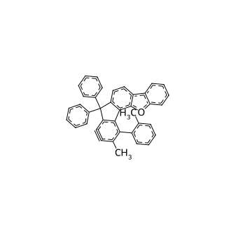 Cc1c#cc2c(c1-c1ccccc1C)-c1c(ccc3c1oc1ccccc13)C2(c1ccccc1)c1ccccc1